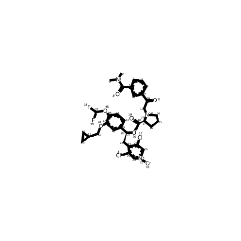 CN(C)C(=O)c1cccc(C(=O)CN2CCC[C@H]2C(=O)O[C@@H](Cc2c(Cl)c[n+]([O-])cc2Cl)c2ccc(OC(F)F)c(OCC3CC3)c2)c1